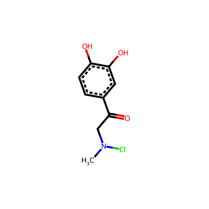 CN(Cl)CC(=O)c1ccc(O)c(O)c1